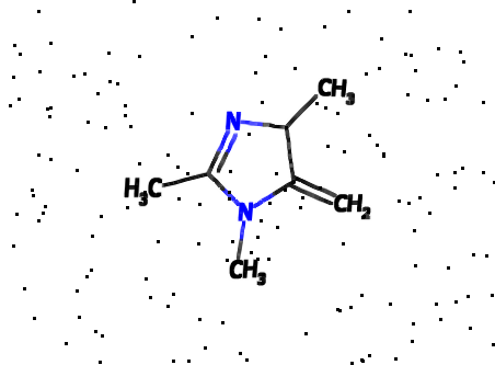 C=C1C(C)N=C(C)N1C